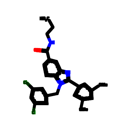 COc1cc(OC)cc(-c2nc3cc(C(=O)NCCC(=O)O)ccc3n2Cc2cc(Cl)cc(Cl)c2)c1